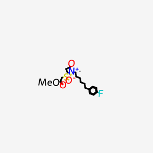 COC(=O)C[S+]([O-])C1CC(=O)[N+]1CCCCCCc1ccc(F)cc1